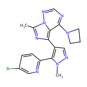 Cc1nc(-c2cnn(C)c2-c2ccc(Br)cn2)c2c(N3CCC3)ncnn12